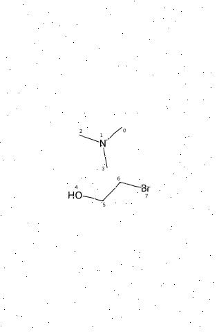 CN(C)C.OCCBr